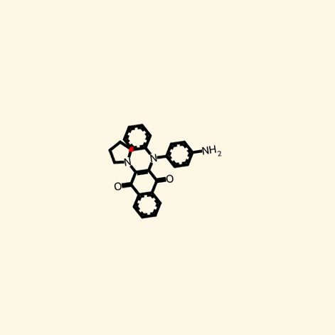 Nc1ccc(N(C2=C(N3CCCC3)C(=O)c3ccccc3C2=O)c2ccccc2)cc1